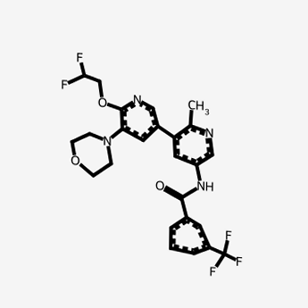 Cc1ncc(NC(=O)c2cccc(C(F)(F)F)c2)cc1-c1cnc(OCC(F)F)c(N2CCOCC2)c1